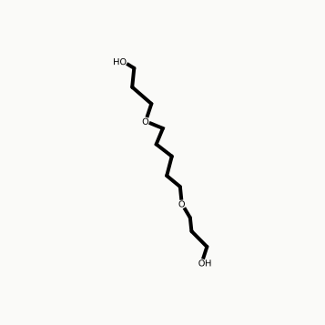 OCCCOCCCCCOCCCO